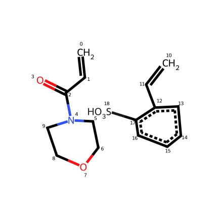 C=CC(=O)N1CCOCC1.C=Cc1ccccc1S(=O)(=O)O